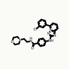 O=C(NCCN1CCOCC1)c1ccc(Nc2nc3cccc(-c4cccc(Cl)c4)n3n2)cc1